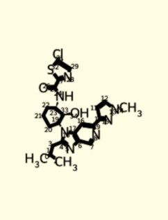 CC(C)Cc1nc2cnc(-c3ccn(C)n3)cc2n1[C@@H]1CCC[C@H](NC(=O)c2ncc(Cl)s2)[C@H]1O